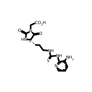 Nc1cccnc1NC(=S)NCCC[C@@H]1NC(=O)N(CC(=O)O)C1=O